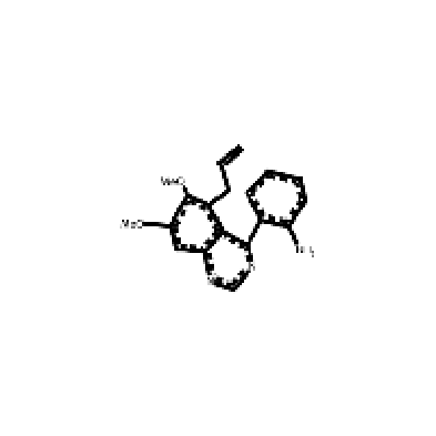 C=CCc1c(OC)c(OC)cc2ncnc(-c3ccccc3N)c12